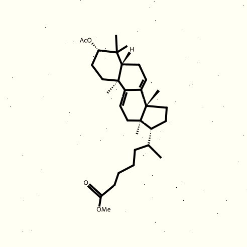 COC(=O)CCCCC(C)[C@H]1CC[C@@]2(C)C3=CC[C@H]4C(C)(C)[C@@H](OC(C)=O)CC[C@]4(C)C3=CC[C@]12C